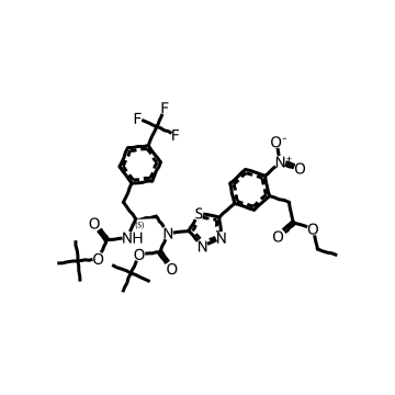 CCOC(=O)Cc1cc(-c2nnc(N(C[C@H](Cc3ccc(C(F)(F)F)cc3)NC(=O)OC(C)(C)C)C(=O)OC(C)(C)C)s2)ccc1[N+](=O)[O-]